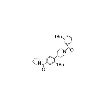 CC(C)(C)c1cccc(C(=O)N2CCC(c3ccc(C(=O)N4CCCC4)cc3C(C)(C)C)CC2)c1